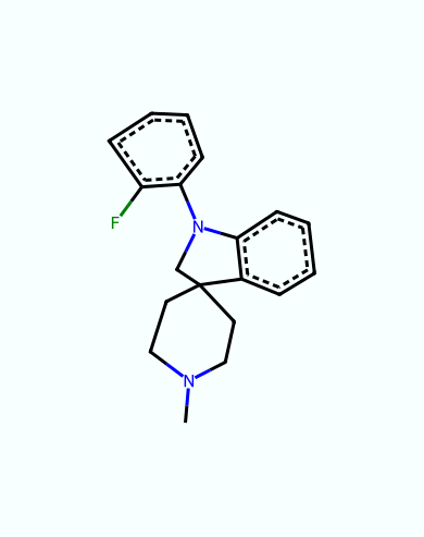 CN1CCC2(CC1)CN(c1ccccc1F)c1ccccc12